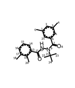 Cc1cc(C)cc(C(=O)N(NC(=O)c2cccc(C)c2C)C(C)(C)C)c1